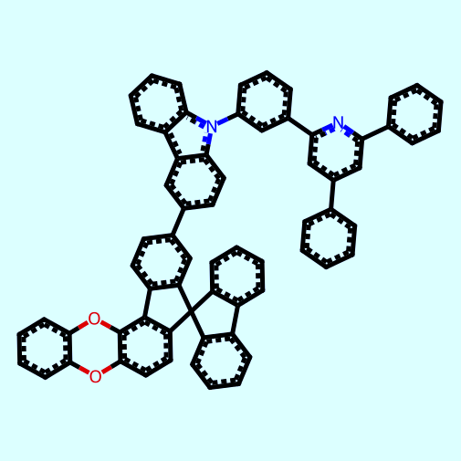 c1ccc(-c2cc(-c3ccccc3)nc(-c3cccc(-n4c5ccccc5c5cc(-c6ccc7c(c6)C6(c8ccccc8-c8ccccc86)c6ccc8c(c6-7)Oc6ccccc6O8)ccc54)c3)c2)cc1